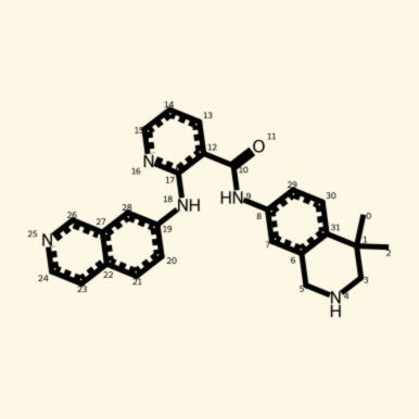 CC1(C)CNCc2cc(NC(=O)c3cccnc3Nc3ccc4ccncc4c3)ccc21